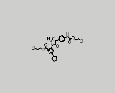 CC(C(=O)Nc1cc(C2CCCC2)nn1C(=O)OCCCl)c1ccc(NC(=O)OCCCl)cc1